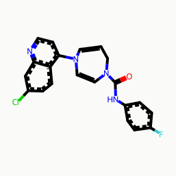 O=C(Nc1ccc(F)cc1)N1C=CN(c2ccnc3cc(Cl)ccc23)C=CC1